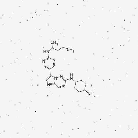 CCCC(C)Nc1ncc(-c2cnc3ccc(N[C@H]4CC[C@H](N)CC4)nn23)cn1